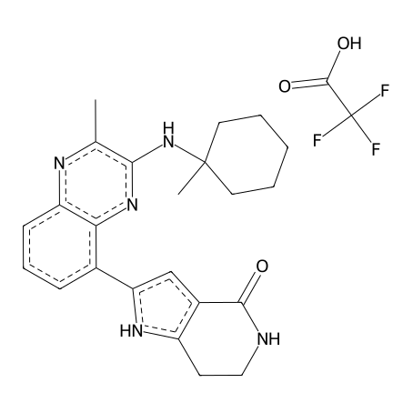 Cc1nc2cccc(-c3cc4c([nH]3)CCNC4=O)c2nc1NC1(C)CCCCC1.O=C(O)C(F)(F)F